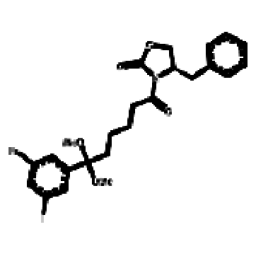 COC(CCCCC(=O)N1C(=O)OC[C@H]1Cc1ccccc1)(OC)c1cc(Br)cc(I)c1